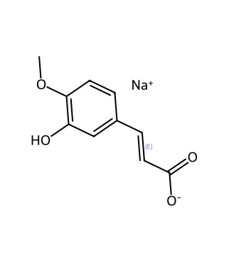 COc1ccc(/C=C/C(=O)[O-])cc1O.[Na+]